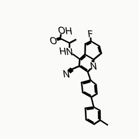 Cc1cccc(-c2ccc(-c3nc4ccc(F)cc4c(NC(C)C(=O)O)c3C#N)cc2)c1